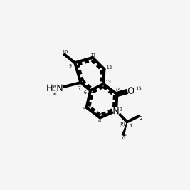 [CH2][C@H](C)n1ccc2c(N)c(C)ccc2c1=O